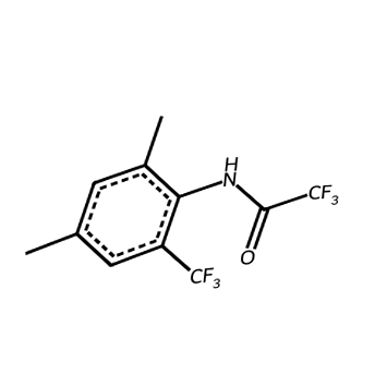 Cc1cc(C)c(NC(=O)C(F)(F)F)c(C(F)(F)F)c1